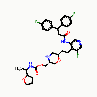 CC(NC(=O)OC[C@@H]1CO[C@H](CCc2c(F)cncc2NC(=O)CC(c2ccc(F)cc2)c2ccc(F)cc2)CN1)C1CCCO1